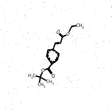 CCOC(=O)/C=C/c1ccc(C(=O)OC(C)(C)C)cc1